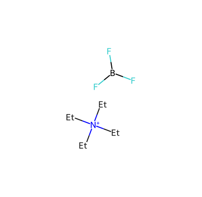 CC[N+](CC)(CC)CC.FB(F)F